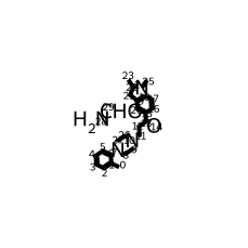 Cc1ccccc1N1CCN(CCC(=O)c2ccc3c(c2)CC(C)N3C)CC1.NC=O